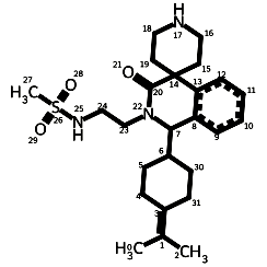 CC(C)=C1CCC(C2c3ccccc3C3(CCNCC3)C(=O)N2CCNS(C)(=O)=O)CC1